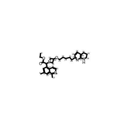 CCOC(=O)C(c1cc(C)cc2c(C)nccc12)N1CC(OCCCCCc2ccc3c(n2)NCCC3)C1